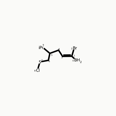 B/C(Br)=C/CC(CSCl)C(C)C